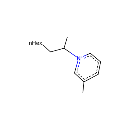 CCCCCCCC(C)[n+]1cccc(C)c1